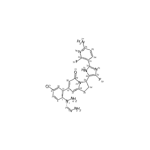 N/N=C\N(N)c1ccc(Cl)cc1-c1cc2n(c(=O)c1)C(c1[nH]c(-c3ccc(N)nc3F)nc1F)CC2